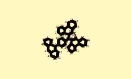 c1ccc2c(-c3ccc(C4c5c(c6ccccc6c6ccccc56)Sc5c4c4ccccc4c4ccccc54)cc3)c3ccccc3cc2c1